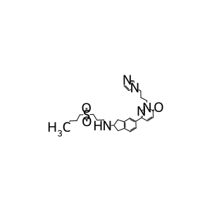 CCCCS(=O)(=O)CCCNC1Cc2ccc(-c3ccc(=O)n(CCCn4ccnc4)n3)cc2C1